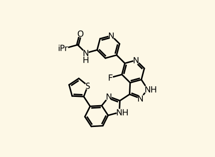 CC(C)C(=O)Nc1cncc(-c2ncc3[nH]nc(-c4nc5c(-c6cccs6)cccc5[nH]4)c3c2F)c1